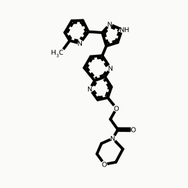 Cc1cccc(-c2n[nH]cc2-c2ccc3ncc(OCC(=O)N4CCOCC4)cc3n2)n1